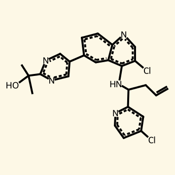 C=CCC(Nc1c(Cl)cnc2ccc(-c3cnc(C(C)(C)O)nc3)cc12)c1cc(Cl)ccn1